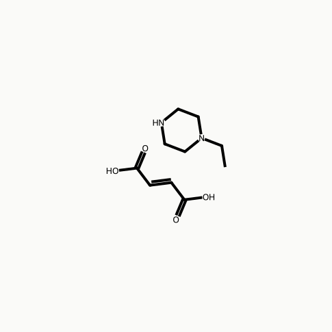 CCN1CCNCC1.O=C(O)C=CC(=O)O